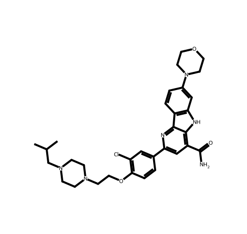 CC(C)CN1CCN(CCOc2ccc(-c3cc(C(N)=O)c4[nH]c5cc(N6CCOCC6)ccc5c4n3)cc2Cl)CC1